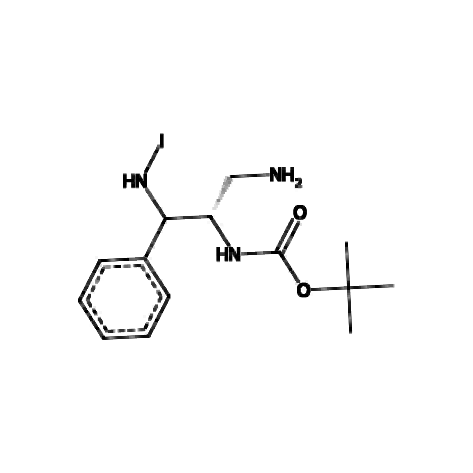 CC(C)(C)OC(=O)N[C@@H](CN)C(NI)c1ccccc1